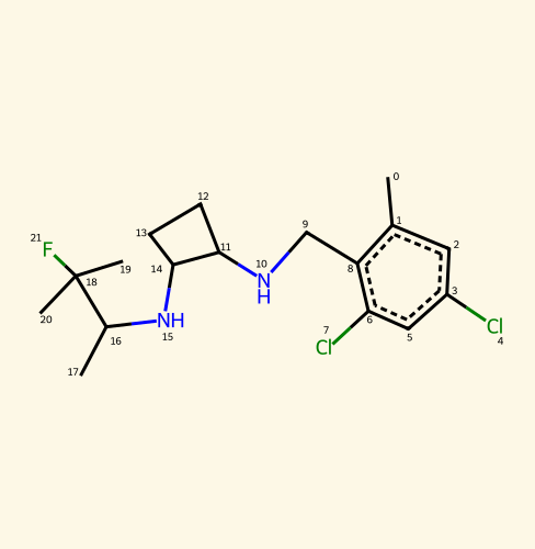 Cc1cc(Cl)cc(Cl)c1CNC1CCC1NC(C)C(C)(C)F